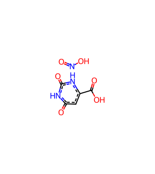 O=C(O)c1cc(=O)[nH]c(=O)[nH]1.O=NO